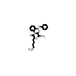 C=C(C)C(=O)N(C(=O)CCCCCN)c1ccccc1N=Nc1ccccc1